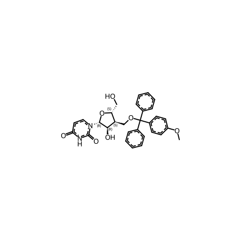 COc1ccc(C(OC[C@H]2[C@@H](O)[C@H](n3ccc(=O)[nH]c3=O)O[C@@H]2CO)(c2ccccc2)c2ccccc2)cc1